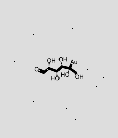 O=C[C@H](O)[C@@H](O)[C@H](O)[C@@](O)([Au])CO